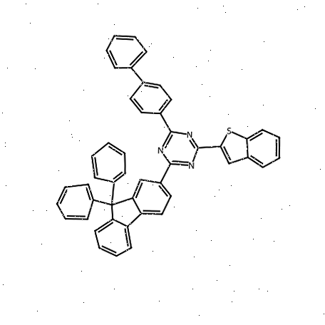 c1ccc(-c2ccc(-c3nc(-c4ccc5c(c4)C(c4ccccc4)(c4ccccc4)c4ccccc4-5)nc(-c4cc5ccccc5s4)n3)cc2)cc1